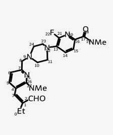 CC/C(C=O)=C/c1ccc(CN2CCN(c3ccc(C(=O)NC)nc3F)CC2)nc1NC